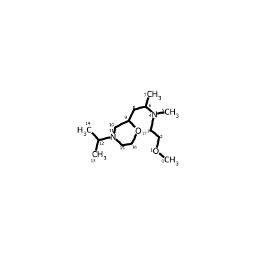 COCCN(C)C(C)CC1CN(C(C)C)CCO1